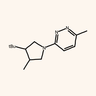 Cc1ccc(N2CC(C)C(C(C)(C)C)C2)nn1